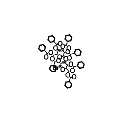 O=C(OCC1O[C@@H](O[C@@H]2C(OC(=O)c3ccccc3)[C@@H](Br)OC(COC(=O)c3ccccc3)[C@H]2OC(=O)c2ccccc2)C(OC(=O)c2ccccc2)[C@@H](OC(=O)c2ccccc2)[C@@H]1OC(=O)c1ccccc1)c1ccccc1